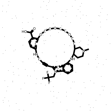 CN1CCC2Nc3cccc4c3cc(n4CC(F)(F)F)C#CCNc3ccc(C(=O)O)c(c3)OCCOCCOCCC2C1